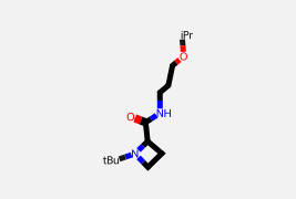 CC(C)OCCCNC(=O)C1CCN1C(C)(C)C